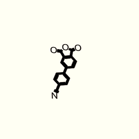 N#Cc1ccc(-c2ccc3c(c2)C(=O)OC3=O)cc1